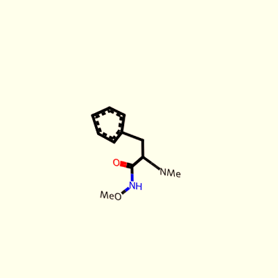 CNC(Cc1ccccc1)C(=O)NOC